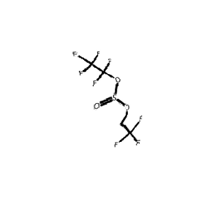 O=S(OCC(F)(F)F)OC(F)(F)C(F)(F)F